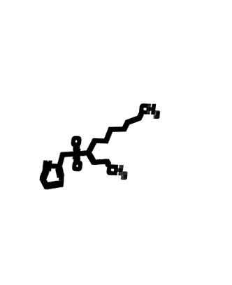 CCCCCCCC(CCC)S(=O)(=O)Cc1ccccn1